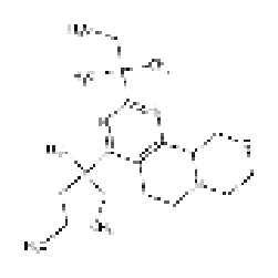 CCCC(C)(CC)c1nc(C(C)(C)CC)nc2c1CCN1CCOCC21